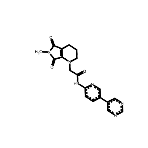 CN1C(=O)C2=C(C1=O)N(CC(=O)Nc1ccc(-c3cncnc3)cn1)CCC2